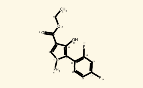 CCOC(=O)c1cn(P)c(-c2ccc(F)cc2F)c1O